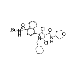 CC(C)(C)N[S+]([O-])c1ccc(-c2c(Cl)c(C(=O)NC3CCOCC3)c(Cl)n2CC2CCCCC2)c2ccccc12